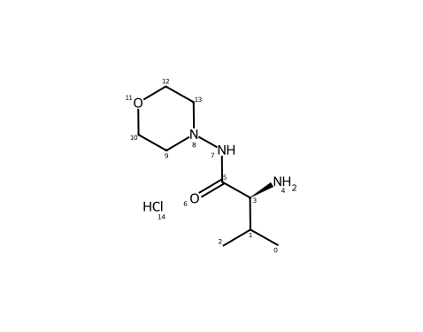 CC(C)[C@H](N)C(=O)NN1CCOCC1.Cl